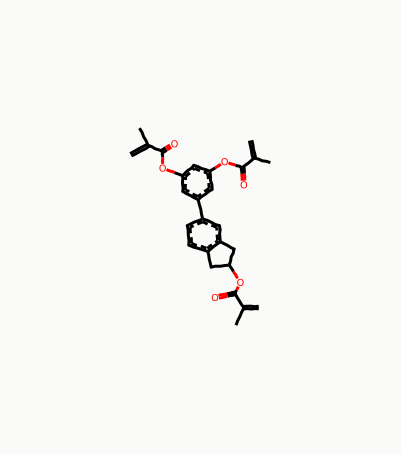 C=C(C)C(=O)Oc1cc(OC(=O)C(=C)C)cc(-c2ccc3c(c2)CC(OC(=O)C(=C)C)C3)c1